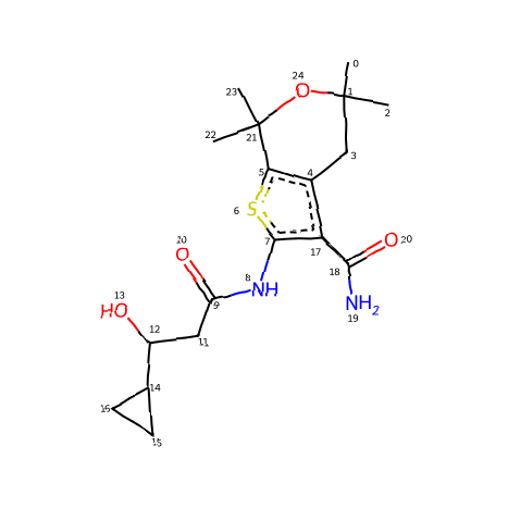 CC1(C)Cc2c(sc(NC(=O)CC(O)C3CC3)c2C(N)=O)C(C)(C)O1